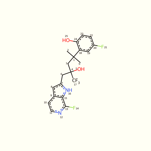 CC(C)(CC(O)(Cc1cc2ccnc(F)c2[nH]1)C(F)(F)F)c1cc(F)ccc1O